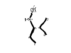 CCC.CCCNO